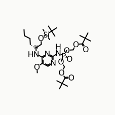 CCCC[C@H](CO[Si](C)(C)C(C)(C)C)Nc1nc(NP(=O)(OCOC(=O)C(C)(C)C)OCOC(=O)C(C)(C)C)ncc1OC